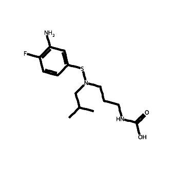 CC(C)CN(CCCNC(=O)O)Sc1ccc(F)c(N)c1